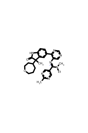 CCN(C)/C(=N\c1cncnc1-c1ccc2c(c1)C(C)(C1CCCOCC1)C(=O)N2)c1cnc(C)nc1